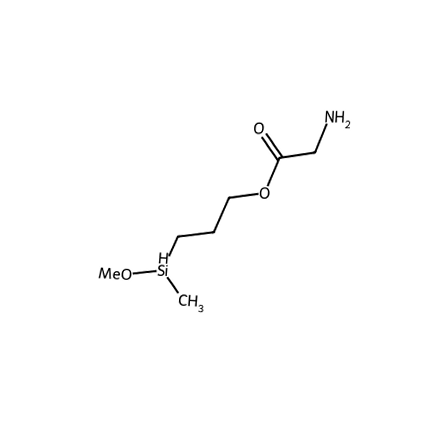 CO[SiH](C)CCCOC(=O)CN